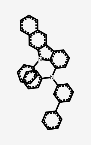 c1ccc(-c2cccc(N(c3ccccc3)c3cccc4c5cc6ccccc6cc5n(-c5ccccc5)c34)c2)cc1